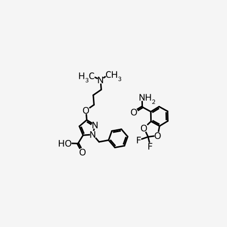 CN(C)CCCOc1cc(C(=O)O)n(Cc2ccccc2)n1.NC(=O)c1cccc2c1OC(F)(F)O2